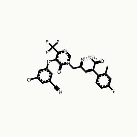 Cc1cc(F)ccc1/C(=C/C(=N)Cn1cnc(C(F)(F)F)c(Oc2cc(Cl)cc(C#N)c2)c1=O)C(N)=O